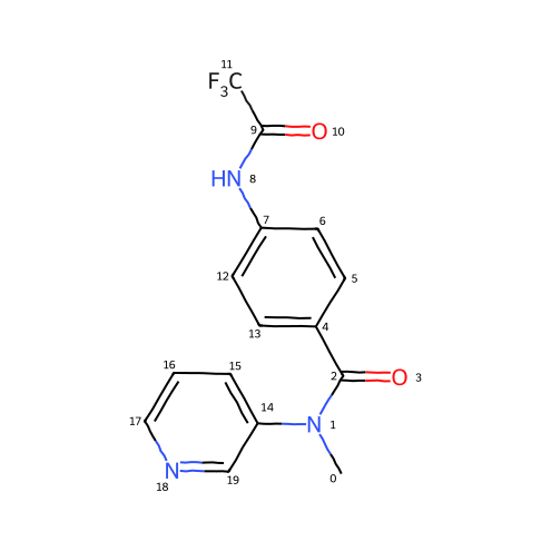 CN(C(=O)c1ccc(NC(=O)C(F)(F)F)cc1)c1cccnc1